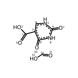 O=C(O)c1c[nH]c(=O)[nH]c1=O.O=CO